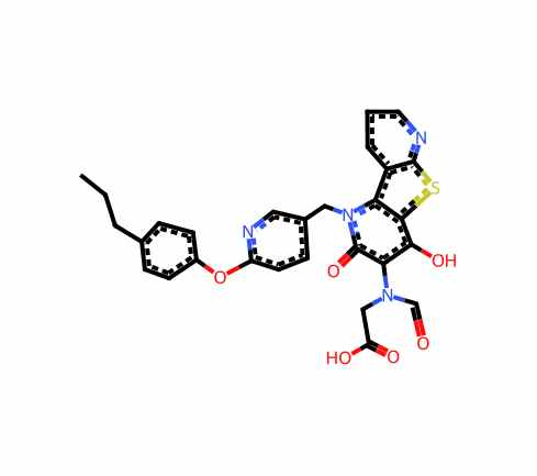 CCCc1ccc(Oc2ccc(Cn3c(=O)c(N(C=O)CC(=O)O)c(O)c4sc5ncccc5c43)cn2)cc1